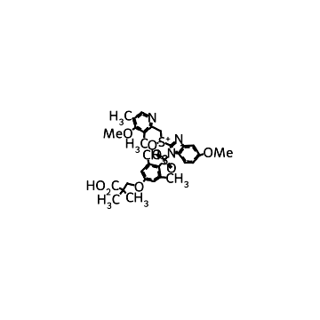 COc1ccc2c(c1)nc([S+]([O-])Cc1ncc(C)c(OC)c1C)n2S(=O)(=O)c1c(C)cc(OCC(C)(C)C(=O)O)cc1C